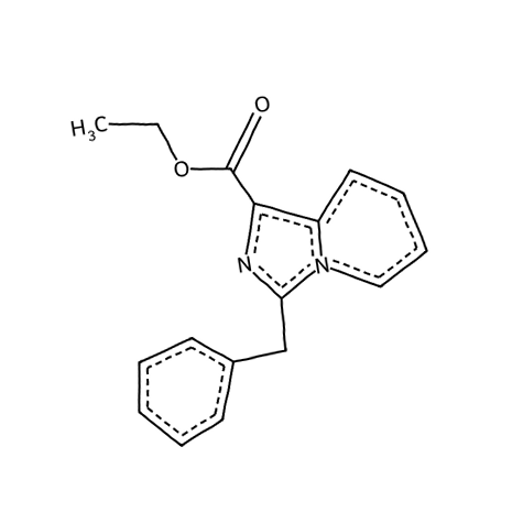 CCOC(=O)c1nc(Cc2ccccc2)n2ccccc12